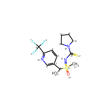 CC(c1ccc(C(F)(F)F)nc1)S(C)(=O)=NC(=S)N1CCCC1